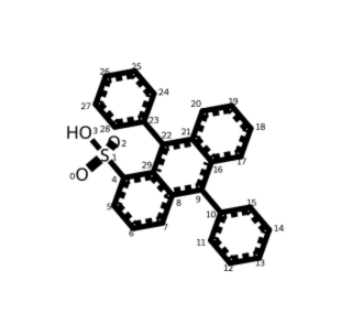 O=S(=O)(O)c1cccc2c(-c3ccccc3)c3ccccc3c(-c3ccccc3)c12